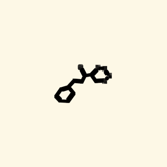 O=C(C=Cc1ccccc1)c1cnnnn1